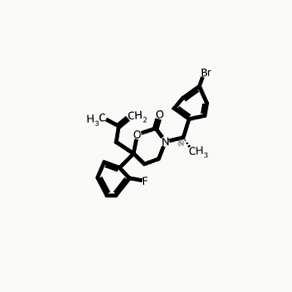 C=C(C)CC1(c2ccccc2F)CCN([C@@H](C)c2ccc(Br)cc2)C(=O)O1